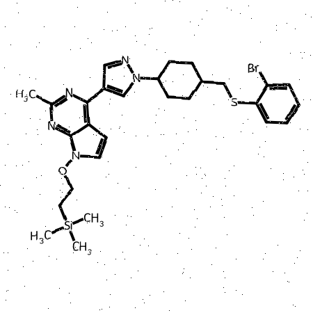 Cc1nc(-c2cnn(C3CCC(CSc4ccccc4Br)CC3)c2)c2ccn(OCC[Si](C)(C)C)c2n1